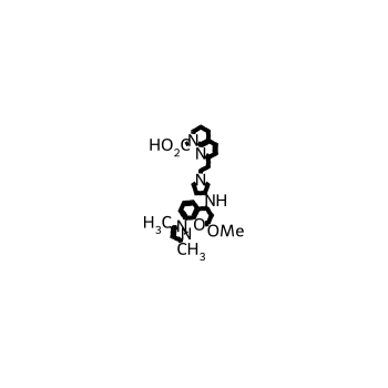 COC(=O)CC(N[C@H]1CCN(CCc2ccc3c(n2)N(C(=O)O)CCC3)C1)c1cccc(-n2nc(C)cc2C)c1